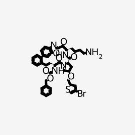 NCCCC[C@H](NC(=O)[C@@H]1C[C@@H](OCC2CC(Br)=CS2)CN1C(=O)[C@@H](CCc1ccccc1)NC(=O)OCc1ccccc1)C(=O)c1nc2ccccc2o1